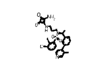 Cc1cnccc1-c1cccc(C(C)N(CCCNc2c(N)c(=O)c2=O)S(=O)(=O)c2cccc(Cl)c2C)c1